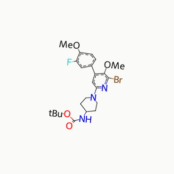 COc1ccc(-c2cc(N3CCC(NC(=O)OC(C)(C)C)CC3)nc(Br)c2OC)cc1F